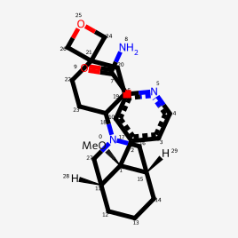 CO[C@]1(c2ccnc(C(N)=O)c2)[C@@H]2CCC[C@H]1CN(C1CCC3(CC1)COC3)C2